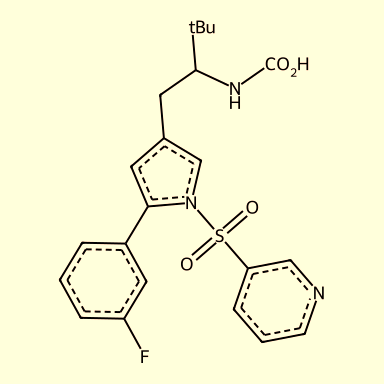 CC(C)(C)C(Cc1cc(-c2cccc(F)c2)n(S(=O)(=O)c2cccnc2)c1)NC(=O)O